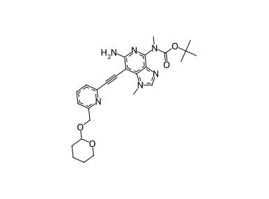 CN(C(=O)OC(C)(C)C)c1nc(N)c(C#Cc2cccc(COC3CCCCO3)n2)c2c1ncn2C